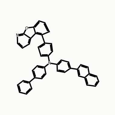 c1ccc(-c2ccc(N(c3ccc(-c4ccc5ccccc5c4)cc3)c3ccc(-c4cccc5oc6ncccc6c45)cc3)cc2)cc1